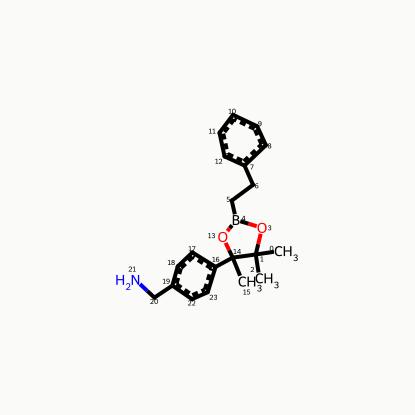 CC1(C)OB(CCc2ccccc2)OC1(C)c1ccc(CN)cc1